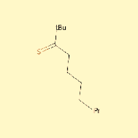 CC(C)CCCCC(=S)C(C)(C)C